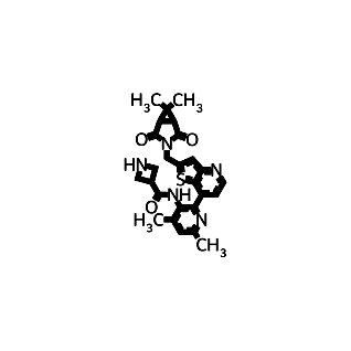 Cc1cc(C)c(NC(=O)C2CNC2)c(-c2ccnc3cc(CN4C(=O)C5C(C4=O)C5(C)C)sc23)n1